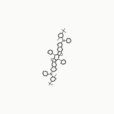 Cc1ccc(C(C)(C)C)cc1N(c1ccccc1)c1ccc2cc3c(cc2c1)oc1c(-c2ccccc2)c2c(oc4cc5cc(N(c6ccccc6)c6cc(C(C)(C)C)ccc6C)ccc5cc42)c(-c2ccccc2)c13